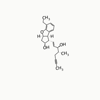 CC#CC[C@@H](C)[C@H](O)/C=C/[C@H]1[C@@H]2c3cccc(CC)c3O[C@@H]2C[C@@H]1O